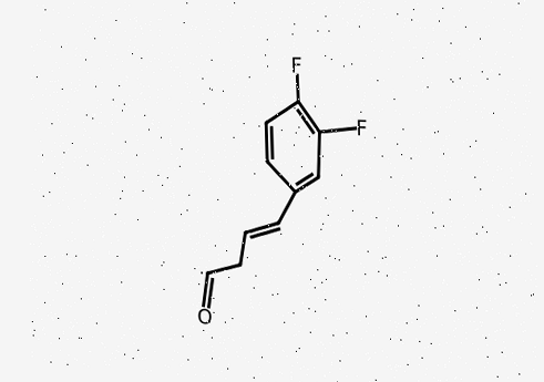 O=[C]CC=Cc1ccc(F)c(F)c1